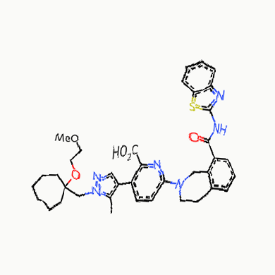 COCCOC1(Cn2ncc(-c3ccc(N4CCc5cccc(C(=O)Nc6nc7ccccc7s6)c5C4)nc3C(=O)O)c2C)CCCCCC1